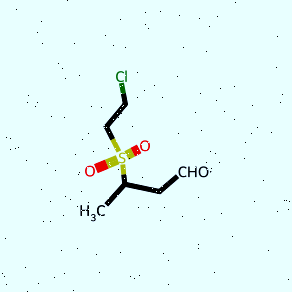 CC(C[C]=O)S(=O)(=O)CCCl